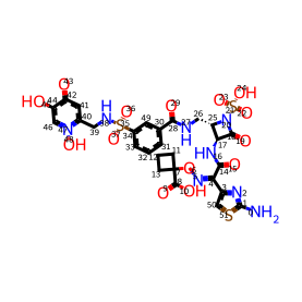 Nc1nc(C(=NOC2(C(=O)O)CCC2)C(=O)N[C@@H]2C(=O)N(S(=O)(=O)O)[C@H]2CNC(=O)c2cccc(S(=O)(=O)NCc3cc(=O)c(O)cn3O)c2)cs1